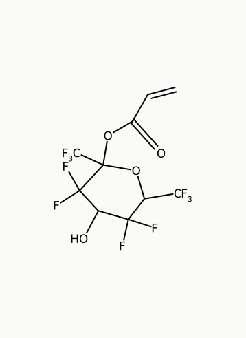 C=CC(=O)OC1(C(F)(F)F)OC(C(F)(F)F)C(F)(F)C(O)C1(F)F